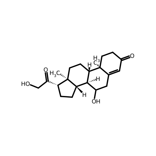 C[C@]12CC[C@H]3[C@@H](C(O)CC4=CC(=O)CC[C@@]43C)[C@@H]1CC[C@@H]2C(=O)CO